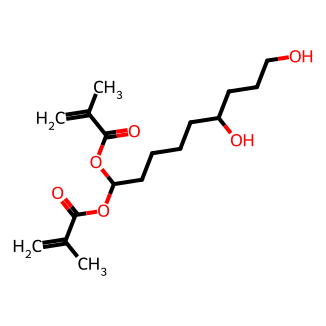 C=C(C)C(=O)OC(CCCCC(O)CCCO)OC(=O)C(=C)C